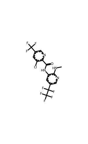 CNc1ncc(C(F)(F)C(F)(F)F)cc1NC(=O)c1ncc(C(F)(F)F)cc1Cl